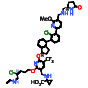 C=C/N=C\C(Cl)=C/CCOc1nc(O[C@H]2CCc3c(-c4cccc(-c5ccc(CNC[C@@H]6CCC(=O)N6)c(OC)n5)c4Cl)cccc32)c(C(F)(F)F)cc1CNC1(C(=O)O)CC1